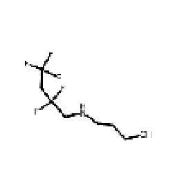 CC(F)(F)CC(F)(F)CNCCCO